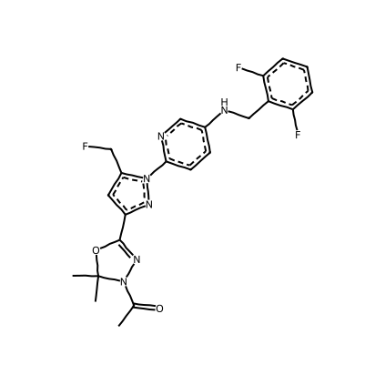 CC(=O)N1N=C(c2cc(CF)n(-c3ccc(NCc4c(F)cccc4F)cn3)n2)OC1(C)C